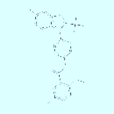 COc1ccc(Cl)cc1C(=O)Nc1cnc(-n2c(C(F)(F)F)nc3cc(C)ccc32)cn1